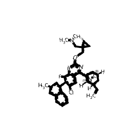 C=C[C@H]1C[C@H]2CC[C@@H]1N(c1nc(OCC3(CN(C)C)CC3)nc3c(F)c(-c4cc(C)cc5ccccc45)c(Cl)cc13)C2